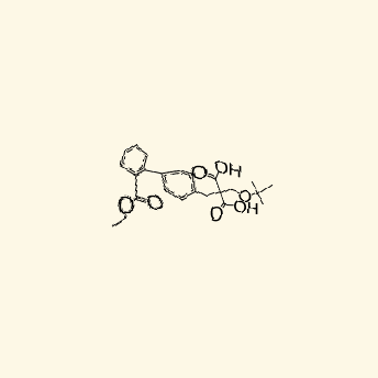 CCOC(=O)c1ccccc1-c1ccc(CC(COC(C)(C)C)(C(=O)O)C(=O)O)cc1